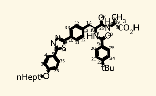 CCCCCCCOc1ccc(-c2nnc(-c3ccc(C[C@H](NC(=O)c4ccc(C(C)(C)C)cc4)C(=O)N[C@H](C)C(=O)O)cc3)s2)cc1